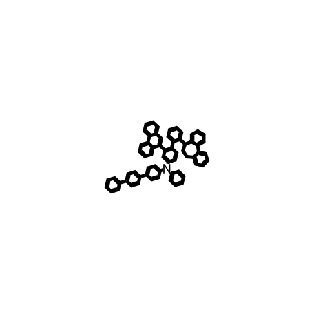 c1ccc(-c2ccc(-c3ccc(N(c4ccccc4)c4ccc(-c5ccccc5C5CCc6ccccc6-c6ccccc65)c(-c5cc6ccccc6c6ccccc56)c4)cc3)cc2)cc1